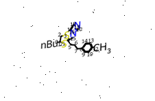 CCCCC1CSC(CCCc2ccc(C)cc2)(Cn2ccnc2)S1